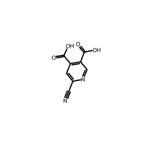 N#Cc1cc(C(=O)O)c(C(=O)O)cn1